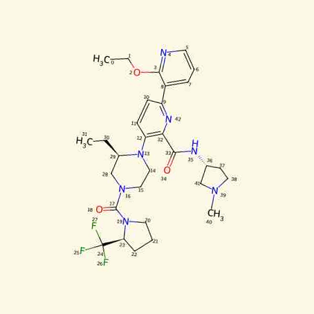 CCOc1ncccc1-c1ccc(N2CCN(C(=O)N3CCC[C@H]3C(F)(F)F)C[C@H]2CC)c(C(=O)N[C@@H]2CCN(C)C2)n1